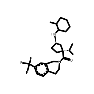 CC1CCCCC1N[C@@H]1CC[C@@](C(=O)N2CCc3ccc(C(F)(F)F)cc3C2)(C(C)C)C1